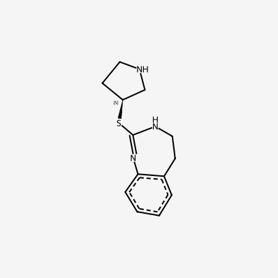 c1ccc2c(c1)CCNC(S[C@H]1CCNC1)=N2